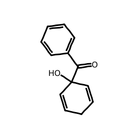 O=C(c1ccccc1)C1(O)C=CCC=C1